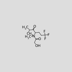 CC(C)C(=O)C(CCC(F)(F)F)N(C)C(=O)CO